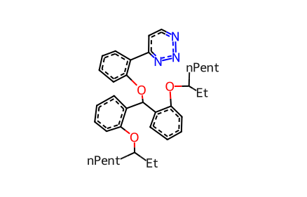 CCCCCC(CC)Oc1ccccc1C(Oc1ccccc1-c1ccnnn1)c1ccccc1OC(CC)CCCCC